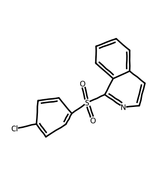 O=S(=O)(c1ccc(Cl)cc1)c1nccc2ccccc12